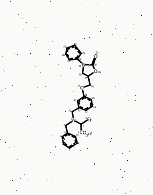 CCC(C(=O)O)N(Cc1ccccc1)Cc1cccc(OCC2CN(c3ccccc3)C(=O)O2)c1